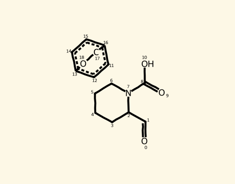 O=CC1CCCCN1C(=O)O.c1cc2ccc1CO2